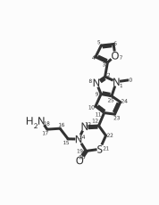 Cn1c(-c2ccco2)nc2cc(C3=NN(CCCN)C(=O)SC3)ccc21